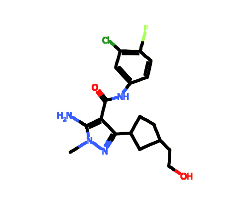 Cn1nc(C2CCC(CCO)C2)c(C(=O)Nc2ccc(F)c(Cl)c2)c1N